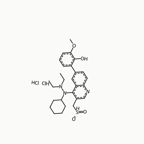 CCN(CC)N(c1c(C[SH](=O)=O)cnc2ccc(-c3cccc(OC)c3O)cc12)C1CCCCC1.Cl.Cl